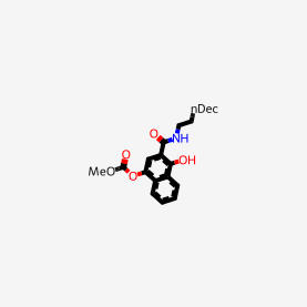 CCCCCCCCCCCCNC(=O)c1cc(OC(=O)OC)c2ccccc2c1O